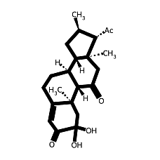 CC(=O)[C@H]1[C@H](C)C[C@H]2[C@@H]3CCC4=CC(=O)C(O)(O)C[C@]4(C)[C@H]3C(=O)C[C@@]21C